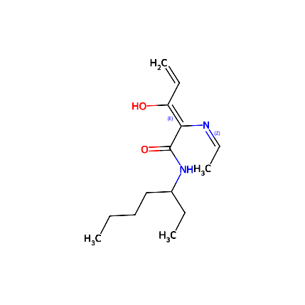 C=C/C(O)=C(\N=C/C)C(=O)NC(CC)CCCC